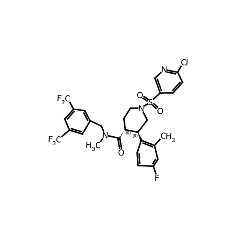 Cc1cc(F)ccc1[C@@H]1CN(S(=O)(=O)c2ccc(Cl)nc2)CC[C@H]1C(=O)N(C)Cc1cc(C(F)(F)F)cc(C(F)(F)F)c1